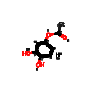 CCC(=O)Oc1ccc(O)c(O)c1.[H+]